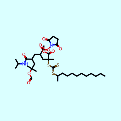 CCCCCCCCCCC(C)SC(=S)SC(C)(CC(CC(CC(C)(C)OC=O)C(=O)NC(C)C)C(=O)ON1C(=O)CCC1=O)C(=O)OC